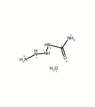 NNNNC(N)=O.O